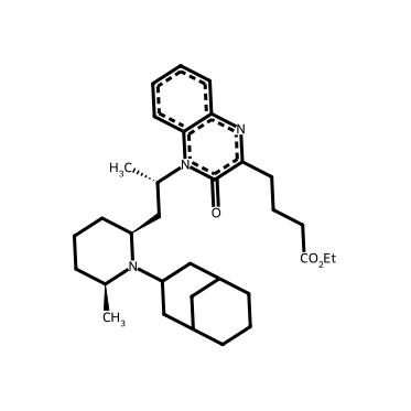 CCOC(=O)CCCc1nc2ccccc2n([C@@H](C)C[C@@H]2CCC[C@H](C)N2C2CC3CCCC(C3)C2)c1=O